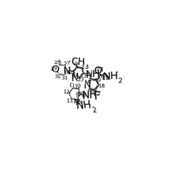 Cc1cc(Nc2nc(N[C@@H]3CCCC[C@@H]3N)c(F)cc2C(N)=O)cnc1N1CCOCC1